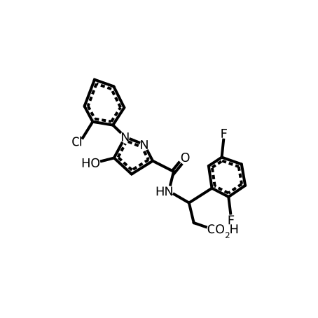 O=C(O)CC(NC(=O)c1cc(O)n(-c2ccccc2Cl)n1)c1cc(F)ccc1F